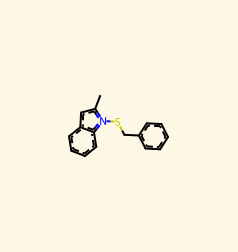 Cc1cc2ccccc2n1SCc1ccccc1